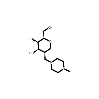 CN1CCN(C[C@@H]2CO[C@H](CO)[C@H](O)[C@@H]2O)CC1